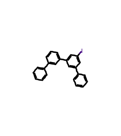 Ic1cc(-c2ccccc2)cc(-c2cccc(-c3ccccc3)c2)c1